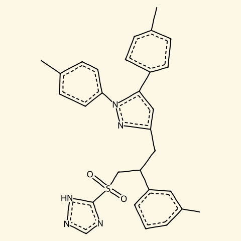 Cc1ccc(-c2cc(CC(CS(=O)(=O)c3ncn[nH]3)c3cccc(C)c3)nn2-c2ccc(C)cc2)cc1